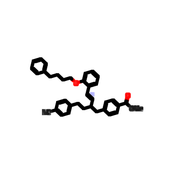 COC(=O)c1ccc(CC(/C=C/c2ccccc2OCCCCc2ccccc2)CCc2ccc(C#N)cc2)cc1